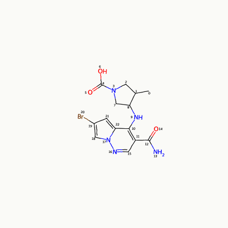 CC1CN(C(=O)O)CC1Nc1c(C(N)=O)cnn2cc(Br)cc12